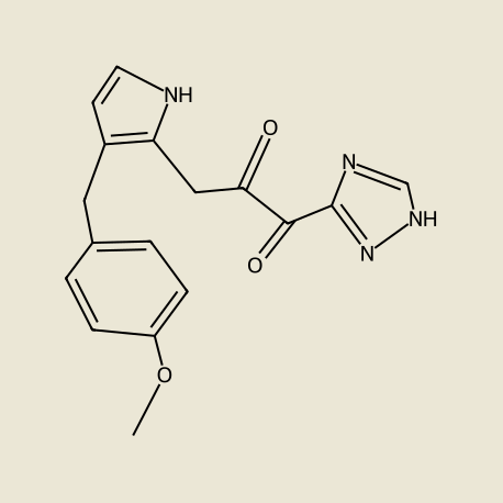 COc1ccc(Cc2cc[nH]c2CC(=O)C(=O)c2nc[nH]n2)cc1